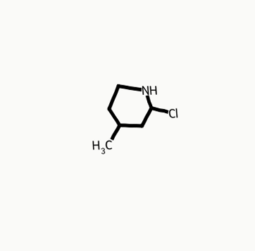 C[C]1CCNC(Cl)C1